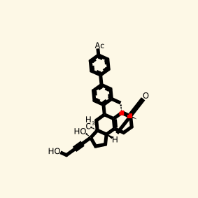 CC(=O)c1ccc(-c2ccc3c(c2)C[C@]24CCC(=O)C=C2CCC2=C4C3C[C@@]3(C)[C@H]2CC[C@@]3(O)C#CCO)cc1